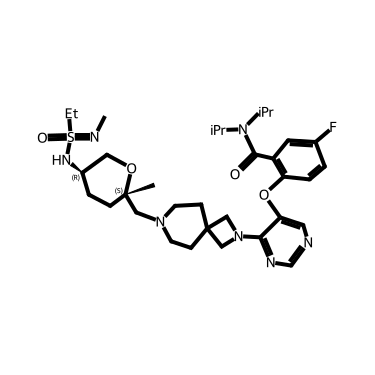 CCS(=O)(=NC)N[C@@H]1CC[C@@](C)(CN2CCC3(CC2)CN(c2ncncc2Oc2ccc(F)cc2C(=O)N(C(C)C)C(C)C)C3)OC1